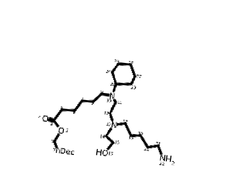 CCCCCCCCCCCOC(=O)CCCCCN(CCN(CCO)CCCCCN)C1CCCCC1